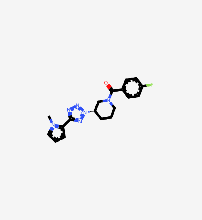 Cn1cccc1-c1nnn([C@H]2CCCN(C(=O)c3ccc(F)cc3)C2)n1